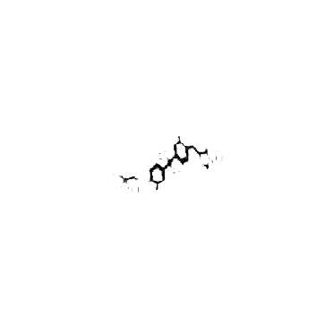 CCC(CC)(c1ccc(/C=C2\SC(=O)NC2=O)c(C)c1)c1ccc(OCC(O)C(C)(C)C)c(C)c1